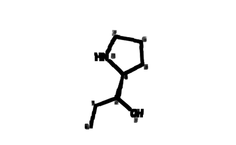 CCC(O)[C@@H]1CCCN1